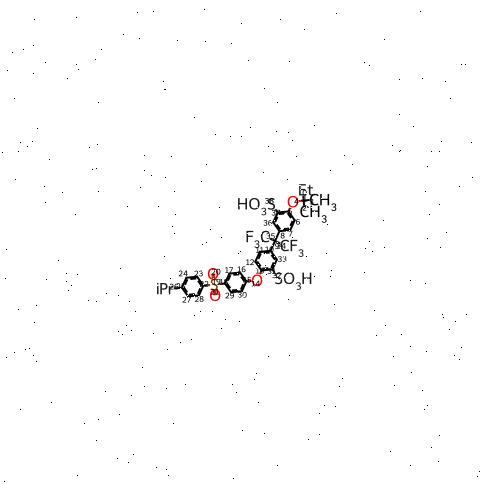 CCC(C)(C)Oc1ccc(C(c2ccc(Oc3ccc(S(=O)(=O)c4ccc(C(C)C)cc4)cc3)c(S(=O)(=O)O)c2)(C(F)(F)F)C(F)(F)F)cc1S(=O)(=O)O